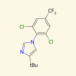 CC(C)(C)c1cn(-c2c(Cl)cc(C(F)(F)F)cc2Cl)cn1